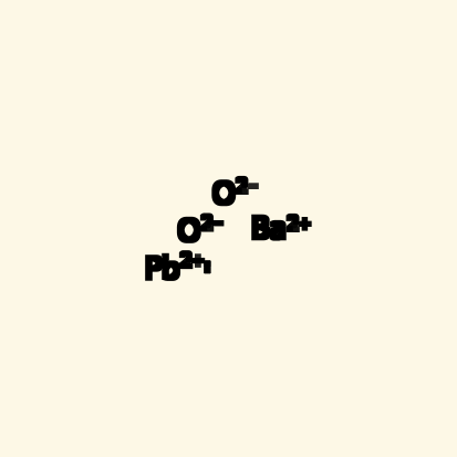 [Ba+2].[O-2].[O-2].[Pb+2]